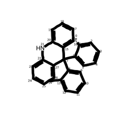 CCc1ccccc1C1(c2ccccc2C)c2ccccc2Nc2ccccc21